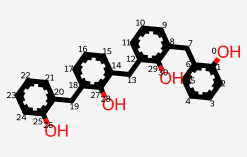 Oc1ccccc1Cc1cccc(Cc2cccc(Cc3ccccc3O)c2O)c1O